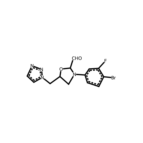 O=CC1OC(Cn2ccnn2)CN1c1ccc(Br)c(F)c1